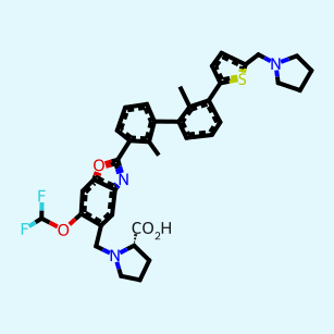 Cc1c(-c2nc3cc(CN4CCC[C@H]4C(=O)O)c(OC(F)F)cc3o2)cccc1-c1cccc(-c2ccc(CN3CCCC3)s2)c1C